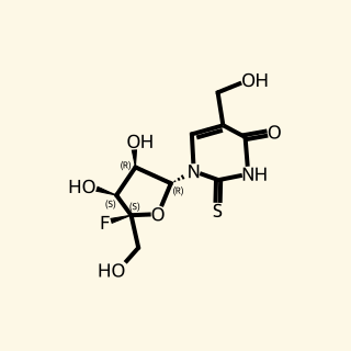 O=c1[nH]c(=S)n([C@@H]2O[C@](F)(CO)[C@@H](O)[C@H]2O)cc1CO